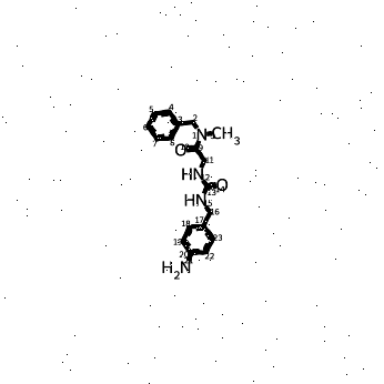 CN(Cc1ccccc1)C(=O)CNC(=O)NCc1ccc(N)cc1